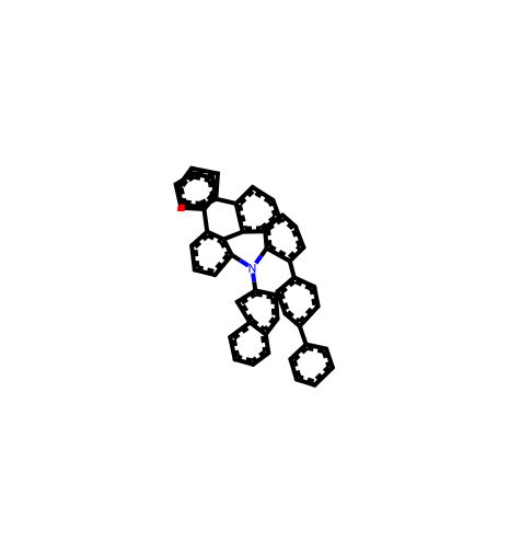 c1ccc(-c2ccc(-c3ccccc3N(c3ccc4ccccc4c3)c3cccc(-c4ccccc4)c3-c3ccccc3-c3ccccc3)cc2)cc1